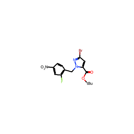 CC(C)(C)OC(=O)c1cc(Br)nn1Cc1ccc([N+](=O)[O-])cc1F